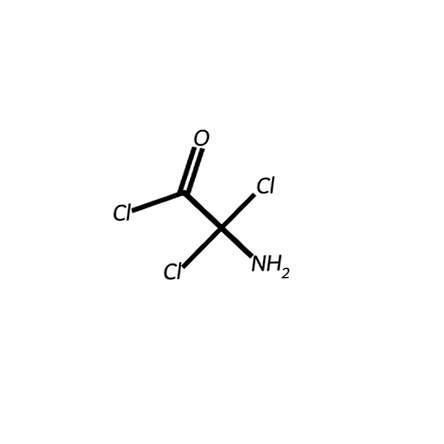 NC(Cl)(Cl)C(=O)Cl